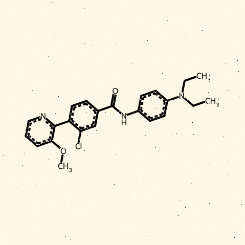 CCN(CC)c1ccc(NC(=O)c2ccc(-c3ncccc3OC)c(Cl)c2)cc1